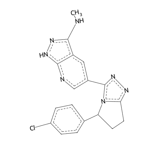 CNc1n[nH]c2ncc(-c3nnc4n3C(c3ccc(Cl)cc3)CC4)cc12